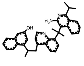 CC(C)c1nc(N)c(C(C)(C)c2cccc3c(CC(C)c4cc(O)cc5ccccc45)ccnc23)c2ccccc12